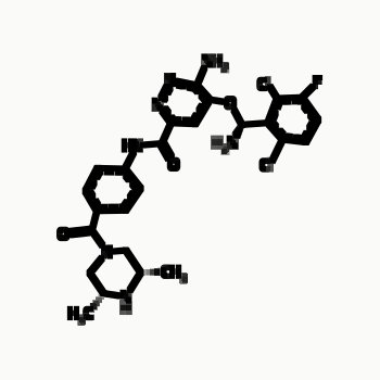 C[C@@H]1CN(C(=O)c2ccc(NC(=O)c3cc(O[C@H](N)c4c(Cl)ccc(F)c4Cl)c(N)nn3)cc2)C[C@H](C)N1